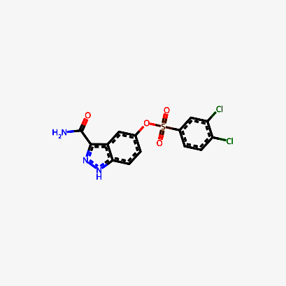 NC(=O)c1n[nH]c2ccc(OS(=O)(=O)c3ccc(Cl)c(Cl)c3)cc12